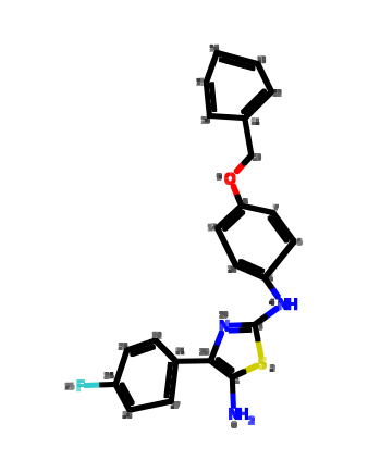 Nc1sc(Nc2ccc(OCc3ccccc3)cc2)nc1-c1ccc(F)cc1